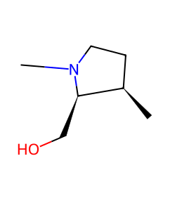 C[C@@H]1CCN(C)[C@@H]1CO